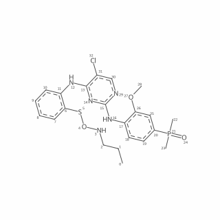 CCCNOSc1ccccc1Nc1nc(Nc2ccc(P(C)(C)=O)cc2OC)ncc1Cl